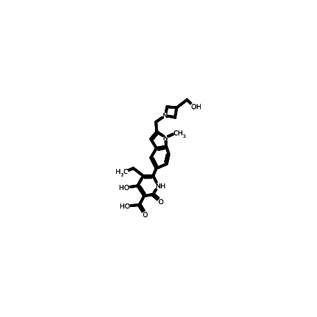 CCc1c(-c2ccc3c(c2)cc(CN2CC(CO)C2)n3C)[nH]c(=O)c(C(=O)O)c1O